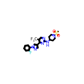 CS(=O)(=O)N1CCC(Nc2ncc(C(F)(F)F)c(-c3cnn(-c4ccccc4F)c3)n2)CC1